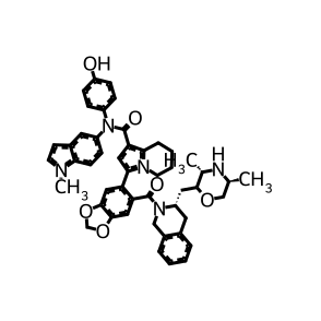 C[C@@H]1N[C@@H](C)COC1C[C@@H]1Cc2ccccc2CN1C(=O)c1cc2c(cc1-c1cc(C(=O)N(c3ccc(O)cc3)c3ccc4c(ccn4C)c3)c3n1CCCC3)OCO2